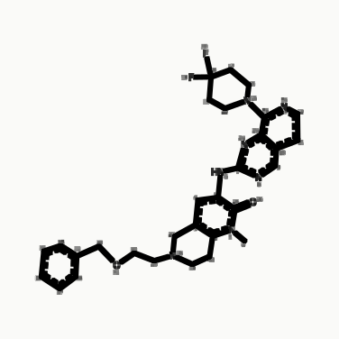 Cn1c2c(cc(Nc3ncc4ccnc(N5CCC(F)(F)CC5)c4n3)c1=O)CN(CCOCc1ccccc1)CC2